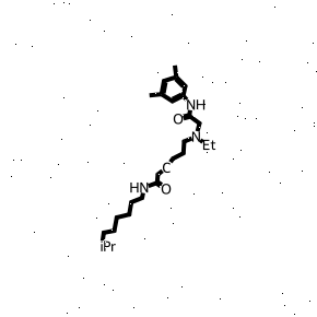 CCN(CCCCCC(=O)NCCCCCCC(C)C)CC(=O)Nc1cc(C)cc(C)c1